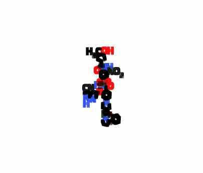 CC(C)c1ccccc1[C@H]1CCCN1C1CC2(CCN(c3ccc(C(=O)NS(=O)(=O)c4cc5c(c([N+](=O)[O-])c4)N[C@@H]([C@H]4CC[C@](C)(O)CC4)CO5)c(Oc4cnc5[nH]cc(C#N)c5c4)c3)CC2)C1